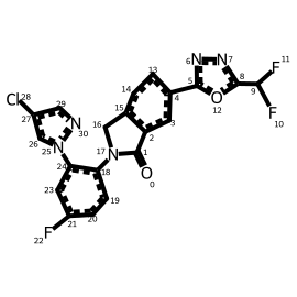 O=C1c2cc(-c3nnc(C(F)F)o3)ccc2CN1c1ccc(F)cc1-n1cc(Cl)cn1